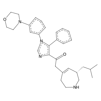 CC(C)C[C@H]1C=C(CC(=O)c2ncn(-c3cccc(N4CCOCC4)c3)c2-c2ccccc2)CCNC1